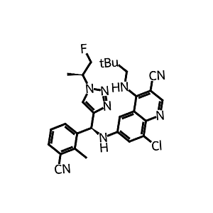 Cc1c(C#N)cccc1[C@H](Nc1cc(Cl)c2ncc(C#N)c(NCC(C)(C)C)c2c1)c1cn([C@@H](C)CF)nn1